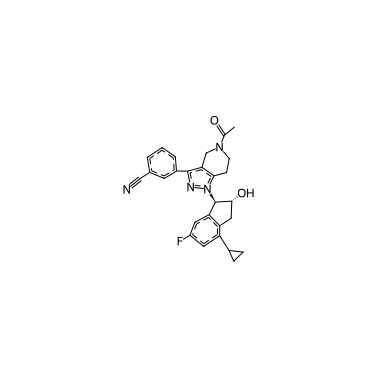 CC(=O)N1CCc2c(c(-c3cccc(C#N)c3)nn2[C@@H]2c3cc(F)cc(C4CC4)c3C[C@H]2O)C1